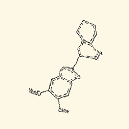 COc1cc2cc(-c3[c]nc4ccccc4c3)sc2cc1OC